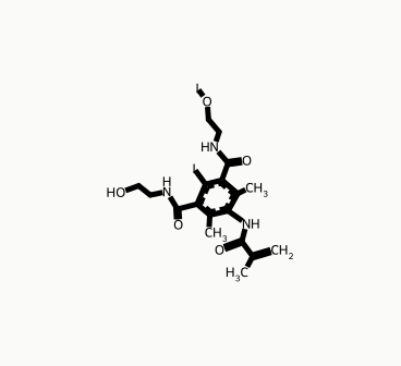 C=C(C)C(=O)Nc1c(C)c(C(=O)NCCO)c(I)c(C(=O)NCCOI)c1C